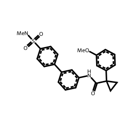 CNS(=O)(=O)c1ccc(-c2cccc(NC(=O)C3(c4cccc(OC)c4)CC3)c2)cc1